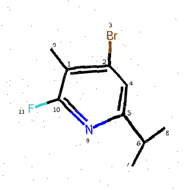 Cc1c(Br)cc(C(C)C)nc1F